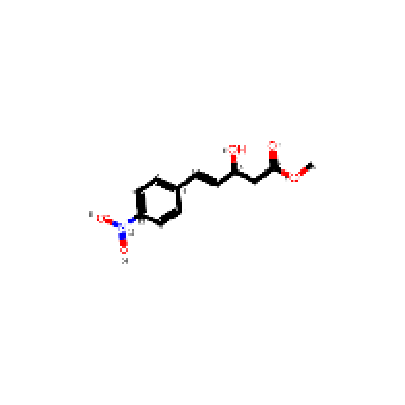 COC(=O)CC(O)/C=C/c1ccc([N+](=O)[O-])cc1